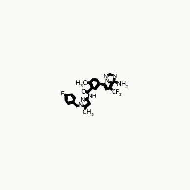 Cc1ccc(-c2cc(C(F)(F)F)c3c(N)ncnn23)cc1C(=O)Nc1cc(C)n(Cc2ccc(F)cc2)n1